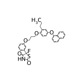 CCCc1cc(Oc2cccc3ccccc23)ccc1OCCCOc1cccc(C2(F)SC(=O)NC2=O)c1